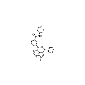 CN1CCC(NC(=O)c2cccc(Nc3ncnc4[nH]cc(C(=O)c5ccccc5)c34)c2)CC1